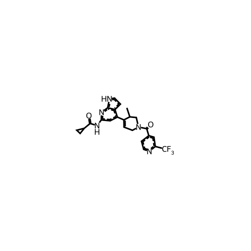 CC1CN(C(=O)c2ccnc(C(F)(F)F)c2)CC=C1c1cc(NC(=O)C2CC2)nc2[nH]ccc12